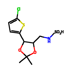 CC1(C)OC(CNS(=O)(=O)O)C(c2ccc(Cl)s2)O1